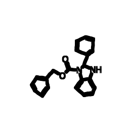 O=C(OCc1ccccc1)N1c2ccccc2NC1c1ccccc1